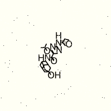 CC(C)Oc1nc(N[C@@H]2CCOC2)ncc1C(=O)NC1C2CC3CC1CC(O)(C3)C2